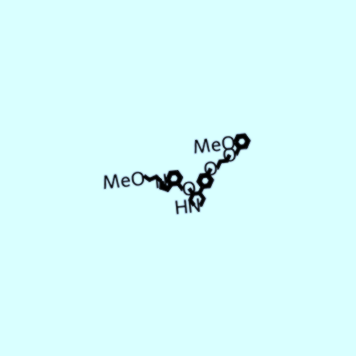 COCCCn1ccc2c(COC3CNCCC3c3ccc(OCCCOCc4ccccc4OC)cc3)cccc21